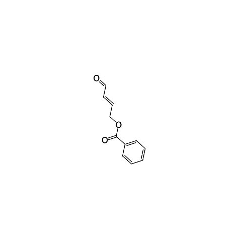 O=C/C=C/COC(=O)c1ccccc1